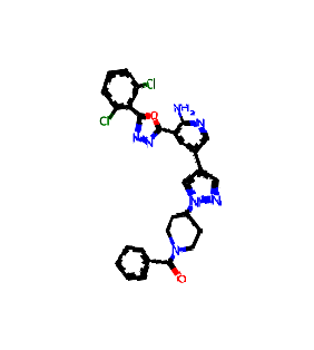 Nc1ncc(-c2cnn(C3CCN(C(=O)c4ccccc4)CC3)c2)cc1-c1nnc(-c2c(Cl)cccc2Cl)o1